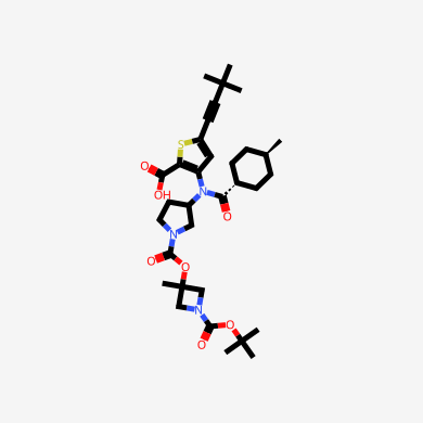 CC(C)(C)C#Cc1cc(N(C(=O)[C@H]2CC[C@H](C)CC2)C2CCN(C(=O)OC3(C)CN(C(=O)OC(C)(C)C)C3)C2)c(C(=O)O)s1